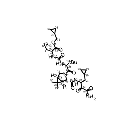 CC(C)(C)C[C@H](NC(=O)N[C@H](C(=O)N1C[C@H]2[C@@H]([C@H]1C(=O)NC(CC1CC1)C(=O)C(N)=O)C2(C)C)C(C)(C)C)C(=O)OCC1CC1